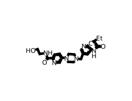 CCc1cc2ncc(CN3CCN(c4ccc(C(=O)NCCO)nc4)CC3)cc2[nH]c1=O